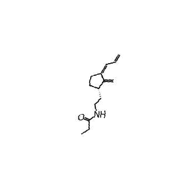 C=C/C=C1/CC[C@@H](CCNC(=O)CC)C1=C